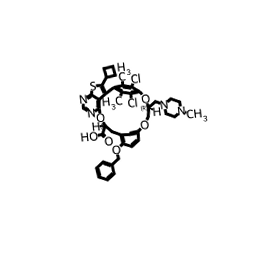 Cc1c(Cl)c2c(Cl)c(C)c1-c1c(C3CCC3)sc3ncnc(c13)O[C@@H](C(=O)O)Cc1cc(ccc1OCc1ccccc1)OC[C@@H](CN1CCN(C)CC1)O2